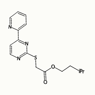 CC(C)CCOC(=O)CSc1nccc(-c2ccccn2)n1